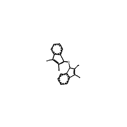 CC1=C(C)[CH]([Zr][CH]2C(C)=C(C)c3ccccc32)c2ccccc21